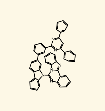 c1ccc(-c2cc(-c3ccccc3)nc(-c3cccc(-c4ccc5c6ccccc6n(-c6nc7ccccc7c7nc8ccccc8n67)c5c4)c3)n2)cc1